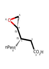 CCCCC[C@@H](CC(=O)O)[C@H]1CO1